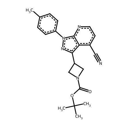 Cc1ccc(-n2nc(C3CN(C(=O)OC(C)(C)C)C3)c3c(C#N)ccnc32)cc1